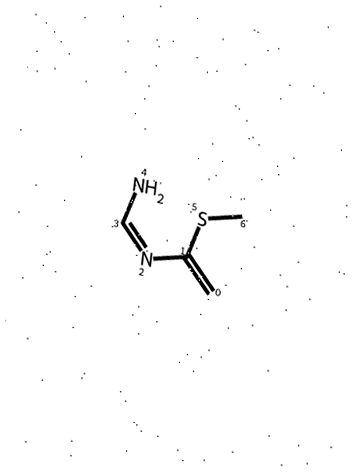 C=C(/N=C\N)SC